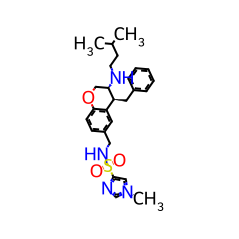 CC(C)CCN[C@@H]1COc2ccc(CNS(=O)(=O)c3cn(C)cn3)cc2[C@@H]1Cc1ccccc1